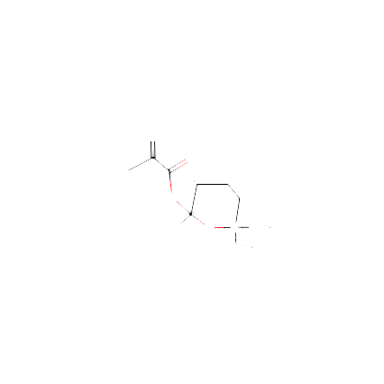 C=C(C)C(=O)OC1(OC)CCC[Si](OC)(OC)O1